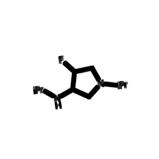 CC(C)NC1CN(C(C)C)CC1F